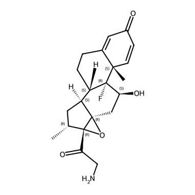 C[C@@H]1C[C@H]2[C@@H]3CCC4=CC(=O)C=C[C@]4(C)[C@@]3(F)[C@@H](O)C[C@@]23O[C@]13C(=O)CN